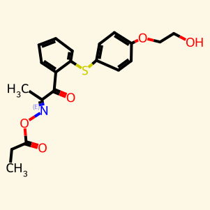 CCC(=O)O/N=C(\C)C(=O)c1ccccc1Sc1ccc(OCCO)cc1